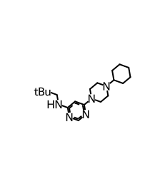 CC(C)(C)CNc1cc(N2CCN(C3CCCCC3)CC2)ncn1